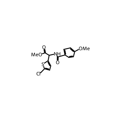 COC(=O)C(NC(=O)c1ccc(OC)cc1)c1ccc(Cl)s1